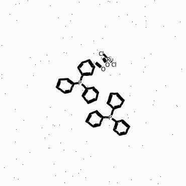 [C]=O.[C]=O.[Cl][Ru][Cl].c1ccc(P(c2ccccc2)c2ccccc2)cc1.c1ccc(P(c2ccccc2)c2ccccc2)cc1